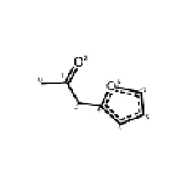 CC(=O)Cc1cc[c]o1